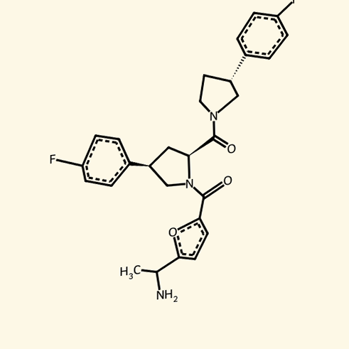 CC(N)c1ccc(C(=O)N2C[C@@H](c3ccc(F)cc3)C[C@H]2C(=O)N2CC[C@H](c3ccc(F)cc3)C2)o1